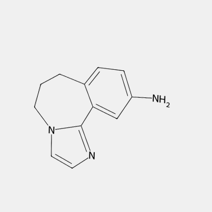 Nc1ccc2c(c1)-c1nccn1CCC2